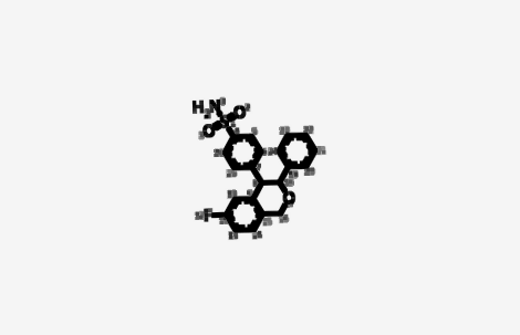 NS(=O)(=O)c1ccc(C2c3cc(F)ccc3COC2c2ccccc2)cc1